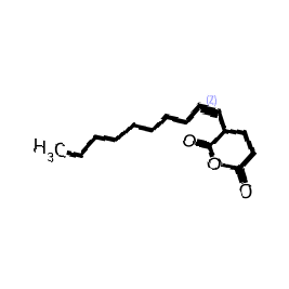 CCCCCCCC/C=C\C1CCC(=O)OC1=O